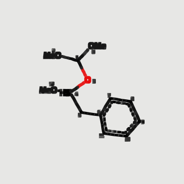 COC(OC)O[SiH](Cc1ccccc1)OC